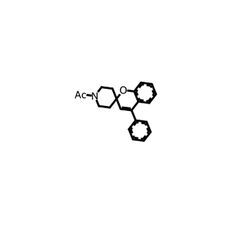 CC(=O)N1CCC2(C=C(c3ccccc3)c3ccccc3O2)CC1